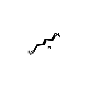 C=CC=CC[SiH3].[Pt]